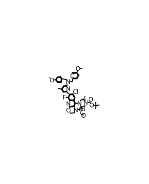 COc1ccc(CN(Cc2ccc(OC)cc2)c2cc(C)cc(-c3c(Cl)cc4c5c6c(nc4c3F)OCCN6C(=C=O)[C@H]3CN(C(=O)OC(C)(C)C)[C@H](C)CN53)n2)cc1